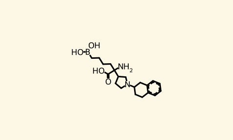 NC(CCCCB(O)O)(C(=O)O)C1CCN(C2CCc3ccccc3C2)C1